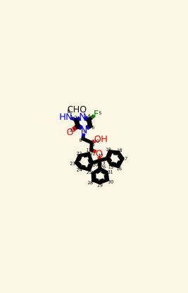 O=CNc1nc(F)cn(CC(O)COC(c2ccccc2)(c2ccccc2)c2ccccc2)c1=O